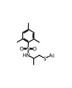 CC(=O)SCC(C)NS(=O)(=O)c1c(C)cc(C)cc1C